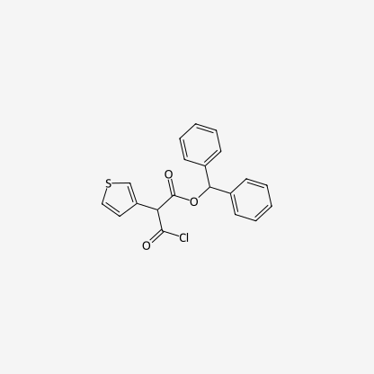 O=C(Cl)C(C(=O)OC(c1ccccc1)c1ccccc1)c1ccsc1